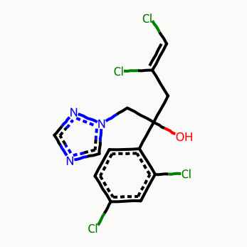 OC(CC(Cl)=CCl)(Cn1cncn1)c1ccc(Cl)cc1Cl